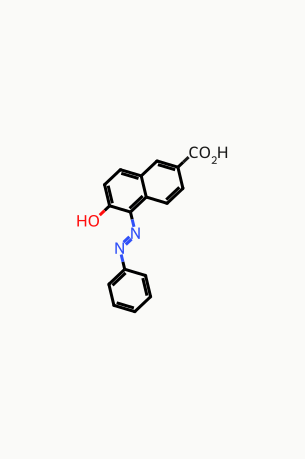 O=C(O)c1ccc2c(N=Nc3ccccc3)c(O)ccc2c1